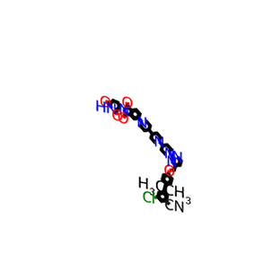 CC(C)(c1ccc(OCc2ccnc(N3CCC(N4CCC(C5CCN(c6ccc7c(c6)C(=O)N(C6CCC(=O)NC6=O)C7=O)CC5)CC4)CC3)n2)cc1)c1cc(Cl)cc(C#N)c1